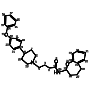 O=C(CCCN1CCC(c2ccc(Oc3ccccc3)cc2)CC1)NC1CCCc2ccccc2O1